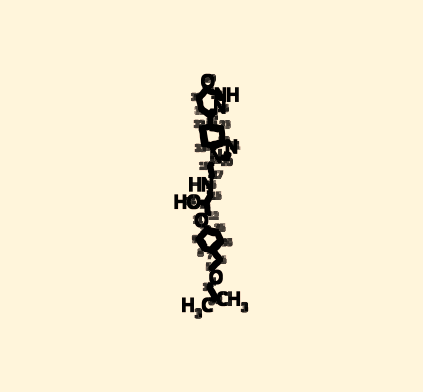 CC(C)COCCc1ccc(OCC(O)CNCCn2cnc3cc(C4=NNC(=O)CC4)ccc32)cc1